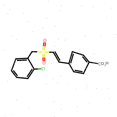 O=C(O)c1ccc(C=CS(=O)(=O)Cc2ccccc2Cl)cc1